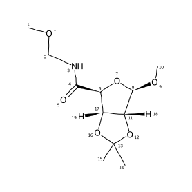 COCNC(=O)[C@H]1O[C@@H](OC)[C@@H]2OC(C)(C)O[C@@H]21